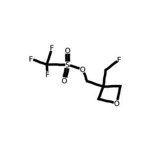 O=S(=O)(OCC1(CF)COC1)C(F)(F)F